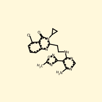 Cc1nc(-c2c(N)ncnc2NCCc2nc3cccc(Cl)c3c(=O)n2C2CC2)no1